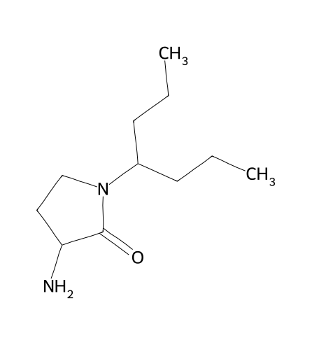 CCCC(CCC)N1CCC(N)C1=O